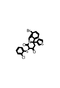 O=C1CC2(c3ccsc3)C3=CC=CC4(Br)C3C4N2C(=O)C1Sc1ccccc1Cl